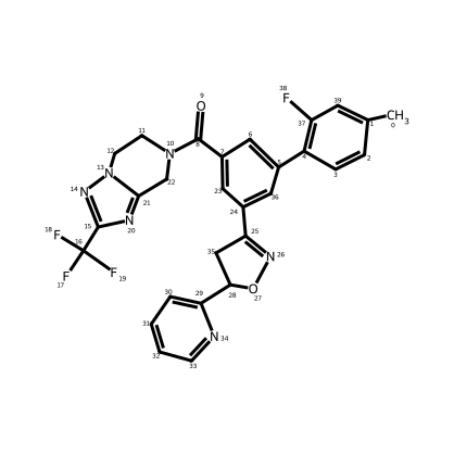 Cc1ccc(-c2cc(C(=O)N3CCn4nc(C(F)(F)F)nc4C3)cc(C3=NOC(c4ccccn4)C3)c2)c(F)c1